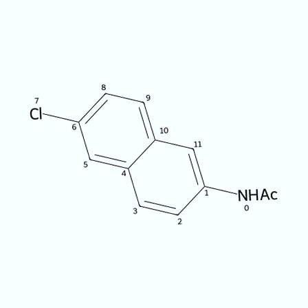 CC(=O)Nc1ccc2cc(Cl)ccc2c1